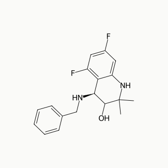 CC1(C)Nc2cc(F)cc(F)c2[C@H](NCc2ccccc2)C1O